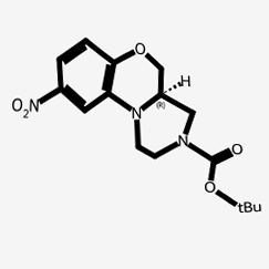 CC(C)(C)OC(=O)N1CCN2c3cc([N+](=O)[O-])ccc3OC[C@H]2C1